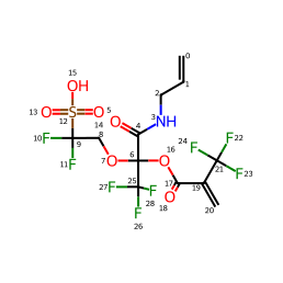 C=CCNC(=O)C(OCC(F)(F)S(=O)(=O)O)(OC(=O)C(=C)C(F)(F)F)C(F)(F)F